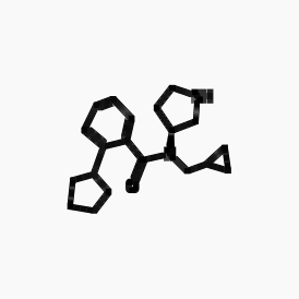 O=C(c1ccccc1C1CCCC1)N(CC1CC1)[C@H]1CCNC1